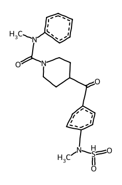 CN(C(=O)N1CCC(C(=O)c2ccc(N(C)[SH](=O)=O)cc2)CC1)c1ccccc1